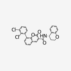 O=C(N[C@H]1CCOc2ccccc21)c1cc2cccc(-c3cccc(Cl)c3Cl)c2oc1=O